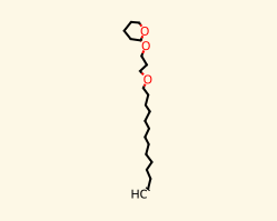 C#CCCCCCCCCCCCCOCCCOC1CCCCO1